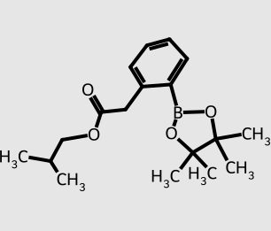 CC(C)COC(=O)Cc1ccccc1B1OC(C)(C)C(C)(C)O1